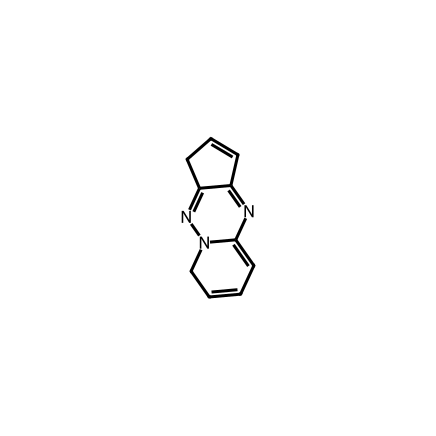 C1=CCN2N=C3CC=CC3=NC2=C1